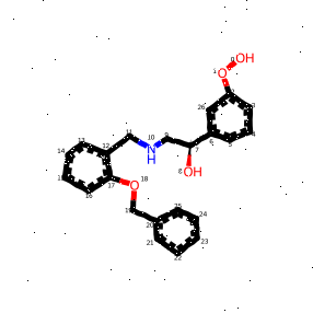 OOc1cccc([C@@H](O)CNCc2ccccc2OCc2ccccc2)c1